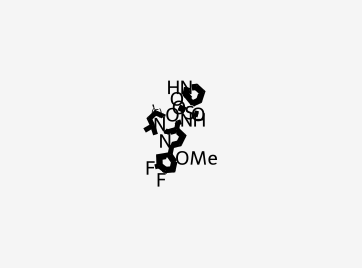 COc1cc(F)c(F)cc1-c1ccc(C(=O)NS(=O)(=O)c2ccc[nH]c2=O)c(N2C[C@@H](C)CC2(C)C)n1